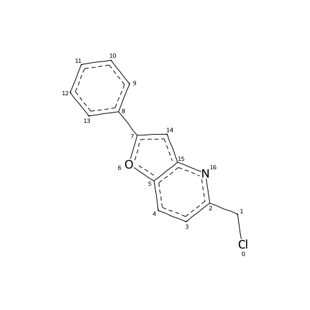 ClCc1ccc2oc(-c3ccccc3)cc2n1